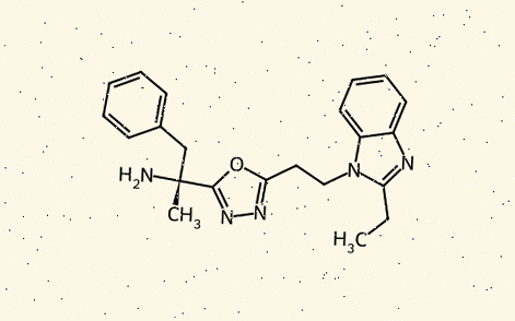 CCc1nc2ccccc2n1CCc1nnc([C@](C)(N)Cc2ccccc2)o1